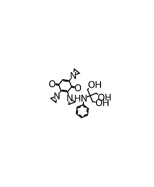 O=C1C=C(N2CC2)C(=O)C(N2CC2)=C1N1CC1.OCC(CO)(CO)Nc1ccccc1